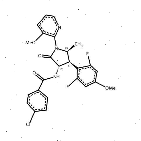 COc1cc(F)c([C@H]2[C@H](NC(=O)c3ccc(Cl)cc3)C(=O)N(c3ncccc3OC)[C@H]2C)c(F)c1